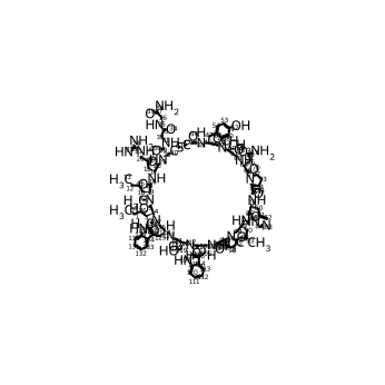 CCCC[C@H]1C(O)N(C)[C@@H](CCCC)C(=O)N[C@@H](CCCNC(=N)N)C(=O)N[C@H](C(=O)NCC(=O)NCC(N)=O)CSCC(=O)N[C@@H](Cc2ccc(O)cc2)C(=O)N(C)[C@@H](C)C(=O)N[C@@H](CC(N)=O)C(=O)N2CCC[C@H]2C(=O)N[C@@H](Cc2cnc[nH]2)C(=O)N[C@@H](CC(C)C)C(=O)N2CCC[C@H]2C(=O)N[C@@H](Cc2c[nH]c3ccccc23)C(=O)N[C@@H](CO)C(=O)N[C@@H](Cc2c[nH]c3ccccc23)C(=O)N1C